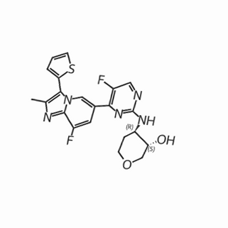 Cc1nc2c(F)cc(-c3nc(N[C@@H]4CCOC[C@H]4O)ncc3F)cn2c1-c1cccs1